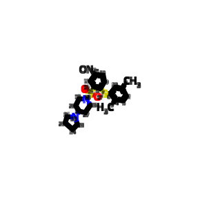 Cc1ccc(C)c(Sc2ccc(N=O)cc2S(=O)(=O)N2CCC(N3CCCC3)CC2)c1